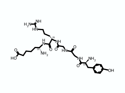 N=C(N)NCCC[C@H](NC(=O)CNC(=O)CNC(=O)[C@@H](N)Cc1ccc(O)cc1)C(=O)N[C@H](N)CCCCC(=O)O